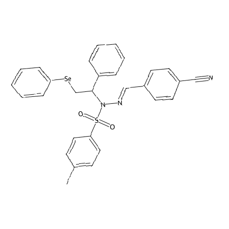 Cc1ccc(S(=O)(=O)N(N=Cc2ccc(C#N)cc2)C(C[Se]c2ccccc2)c2ccccc2)cc1